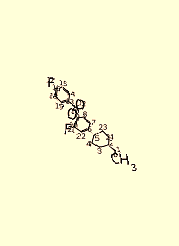 CC[C@H]1CC[C@H](c2ccc(OC(=O)c3ccc(F)cc3)c(F)c2)CC1